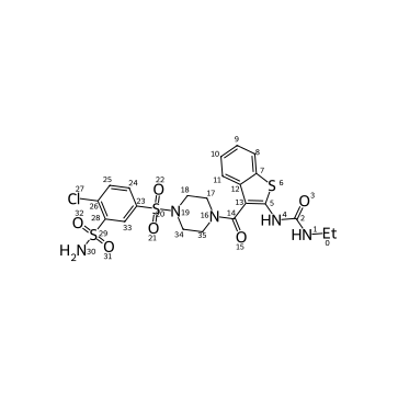 CCNC(=O)Nc1sc2ccccc2c1C(=O)N1CCN(S(=O)(=O)c2ccc(Cl)c(S(N)(=O)=O)c2)CC1